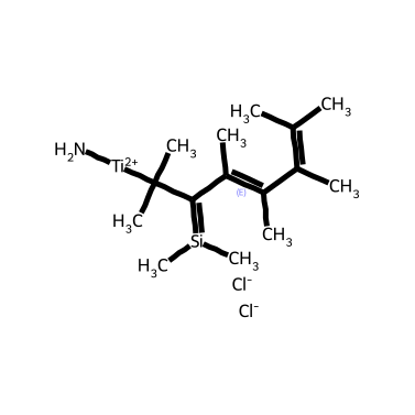 CC(C)=C(C)/C(C)=C(\C)C(=[Si](C)C)[C](C)(C)[Ti+2][NH2].[Cl-].[Cl-]